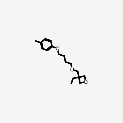 CCC1(COCCCCOc2ccc(C)cc2)COC1